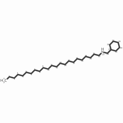 CCCCCCCCCCCCCCCCCCCCCCCNCC1CCCCC1